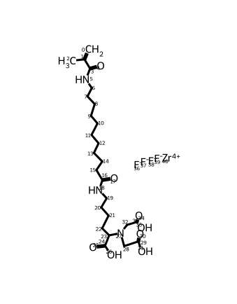 C=C(C)C(=O)NCCCCCCCCCCC(=O)NCCCCC(C(=O)O)N(CC(=O)O)CC(=O)O.[F-].[F-].[F-].[F-].[Zr+4]